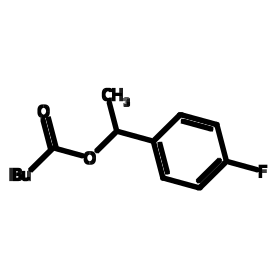 CCC(C)C(=O)OC(C)c1ccc(F)cc1